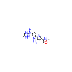 Cc1cnc(NC2CCC(N)(c3ccc(-c4nc(C)oc4C)cn3)C2)nn1